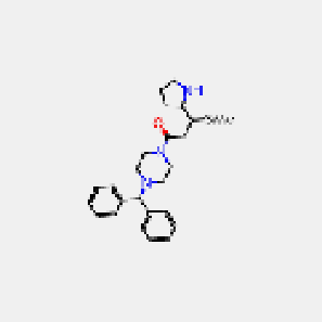 CSC(CC(=O)N1CCN(C(c2ccccc2)c2ccccc2)CC1)C1CCCN1